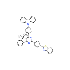 CC1(C)c2ccccc2-c2nc(-c3ccc(-c4nc5ccccc5s4)cc3)nc(-c3ccc(-n4c5ccccc5c5ccccc54)cc3)c21